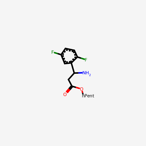 CCCCCOC(=O)CC(N)c1cc(F)ccc1F